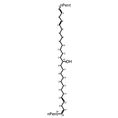 CCCCCC=CCC=CCCCCCCCCC(O)CCCCCCCCC=CC/C=C\CCCCC